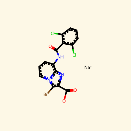 O=C([O-])c1nc2c(NC(=O)c3c(Cl)cccc3Cl)cccn2c1Br.[Na+]